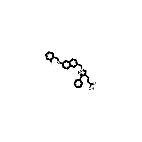 O=C(O)CCc1cn(Cc2ccc3cc(OCc4ccccc4F)ccc3c2)nc1-c1ccccc1